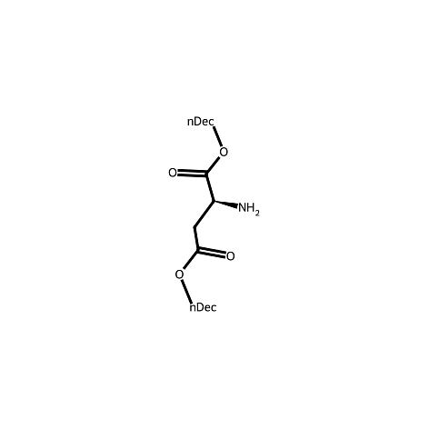 CCCCCCCCCCOC(=O)C[C@H](N)C(=O)OCCCCCCCCCC